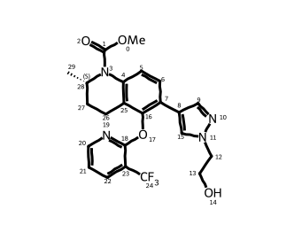 COC(=O)N1c2ccc(-c3cnn(CCO)c3)c(Oc3ncccc3C(F)(F)F)c2CC[C@@H]1C